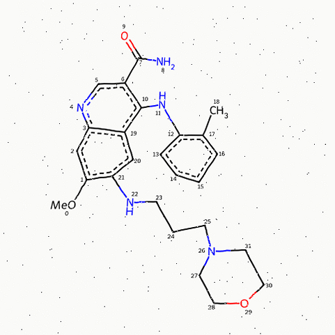 COc1cc2ncc(C(N)=O)c(Nc3ccccc3C)c2cc1NCCCN1CCOCC1